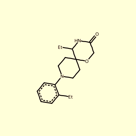 CCc1ccccc1N1CCC2(CC1)OCC(=O)NC2CC